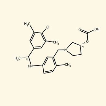 Cc1ccc(N[C@H](C)c2cc(C)c(Cl)c(C)c2)cc1CN1CC[C@@H](OC(=O)O)C1